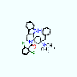 CN(C)C1(Cc2ccccc2)CCC2(CC1)c1[nH]c3ccccc3c1CCN2C(=O)c1c(F)cccc1F